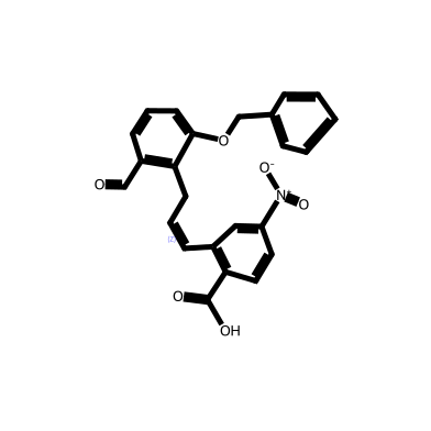 O=Cc1cccc(OCc2ccccc2)c1C/C=C\c1cc([N+](=O)[O-])ccc1C(=O)O